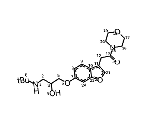 CC(C)(C)NCC(O)COc1ccc2c(CC(=O)N3CCOCC3)coc2c1